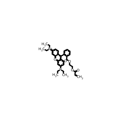 C=CC(=O)OCCOC(=O)c1ccccc1-c1c2ccc(=[N+](CC)CC)cc-2oc2cc(N(CC)CC)ccc12